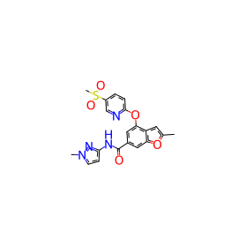 Cc1cc2c(Oc3ccc(S(C)(=O)=O)cn3)cc(C(=O)Nc3ccn(C)n3)cc2o1